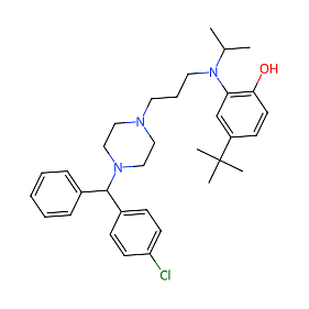 CC(C)N(CCCN1CCN(C(c2ccccc2)c2ccc(Cl)cc2)CC1)c1cc(C(C)(C)C)ccc1O